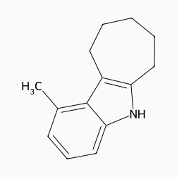 Cc1cccc2[nH]c3c(c12)CCCCC3